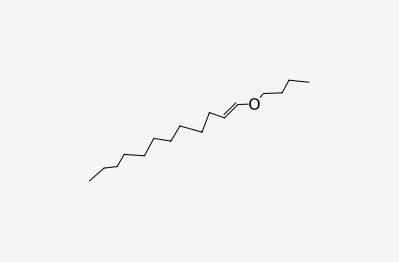 CCCCCCCCCCC=COCCCC